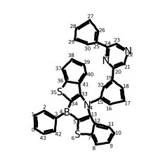 c1ccc(B2c3sc4ccccc4c3N(c3cccc(-c4cncc(-c5ccccc5)n4)c3)c3c2sc2ccccc32)cc1